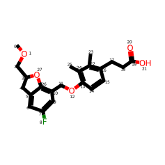 COCC1Cc2cc(F)cc(COc3ccc(CCC(=O)O)c(C)c3C)c2O1